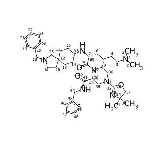 CN(C)CCCC[C@@H](NC1CCC2(CC1)CCN(Cc1ccccc1)C2)C(=O)N1CCN(C2=NC(C)(C)CO2)C[C@H]1C(=O)NCc1cccs1